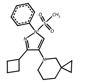 CS(=O)(=O)[N+]1(c2ccccc2)C=C(N2CCCC3(CC3)C2)C(C2CCC2)=N1